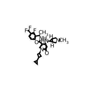 C[C@@H](NC(=O)c1cn(C2CC(C3CC3)C2)c(=O)cc1NC1[C@H]2CN(C)C[C@@H]12)c1cccc(C(F)F)c1F